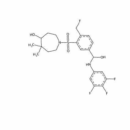 CC1(C)CCN(S(=O)(=O)c2cc(C(O)Nc3cc(F)c(F)c(F)c3)ccc2CF)CCC1O